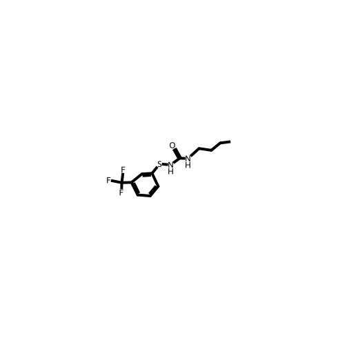 CCCCNC(=O)NSc1cccc(C(F)(F)F)c1